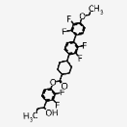 CCOc1ccc(-c2ccc(C3CCC(C(=O)Oc4ccc(C(O)CC)c(F)c4F)CC3)c(F)c2F)c(F)c1F